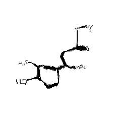 CCCCC(CC(=O)NN)c1ccc(O)c(C)c1